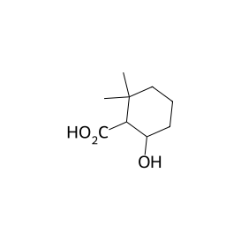 CC1(C)CCCC(O)C1C(=O)O